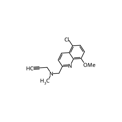 C#CCN(C)Cc1ccc2c(Cl)ccc(OC)c2n1